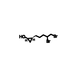 O[C@@H]1C[C@H]1CCCC(Br)CBr